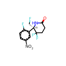 O=C1CCC(F)(F)[C@@](CF)(c2cc([N+](=O)[O-])ccc2F)N1